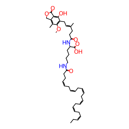 CC/C=C\C/C=C\C/C=C\C/C=C\C/C=C\C/C=C\CCC(=O)NCCCCC(NC(=O)CC/C(C)=C/Cc1c(O)c2c(c(C)c1OC)COC2=O)C(=O)O